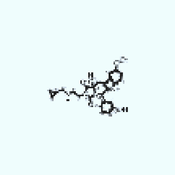 CCOc1ccc2[nH]c3c(c2c1)C[C@@]1(C)C(=O)N(CCNCC2CC2)C(=O)N1[C@@H]3c1cccc(O)c1